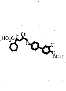 CCCCCCCCOc1ccc(-c2ccc(OCC(CC)C[C@@](F)(C(=O)O)C3CCCCC3)cc2)cc1Cl